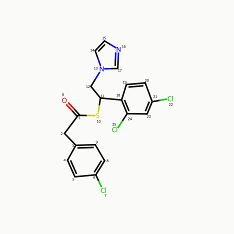 O=C(Cc1ccc(Cl)cc1)SC(Cn1ccnc1)c1ccc(Cl)cc1Cl